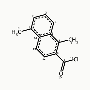 Cc1cccc2c(C)c(C(=O)Cl)ccc12